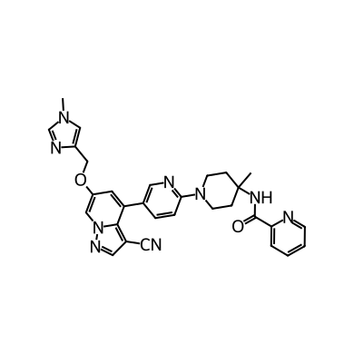 Cn1cnc(COc2cc(-c3ccc(N4CCC(C)(NC(=O)c5ccccn5)CC4)nc3)c3c(C#N)cnn3c2)c1